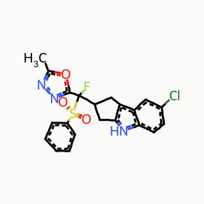 Cc1nnc(C(F)(C2Cc3[nH]c4ccc(Cl)cc4c3C2)S(=O)(=O)c2ccccc2)o1